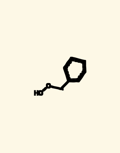 OO[C]c1ccccc1